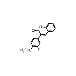 COc1ccc(C(=Cc2ccccc2Cl)CCl)cc1F